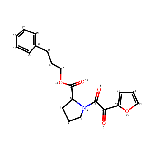 O=C(C(=O)N1CCCC1C(=O)OCCCc1ccccc1)c1ccco1